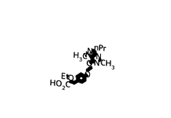 CCCc1nn(C)c2c(OCCOc3ccc(C[C@H](OCC)C(=O)O)cc3)nc(C)nc12